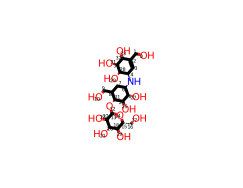 OCC1=C[C@H](N[C@H]2CC(CO)[C@@H](OC3O[C@H](CO)C(O)[C@H](O)C3O)C(O)[C@H]2O)[C@@H](O)[C@@H](O)C1O